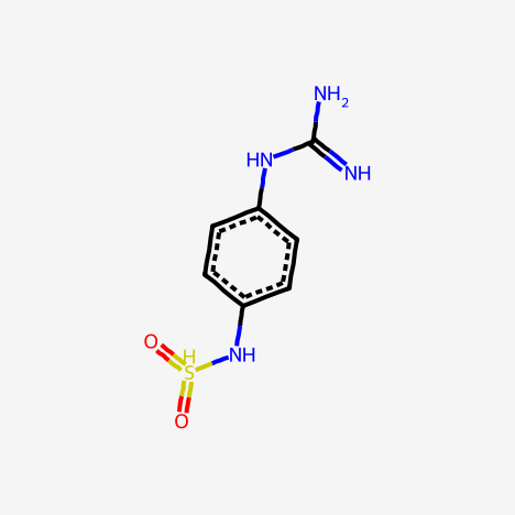 N=C(N)Nc1ccc(N[SH](=O)=O)cc1